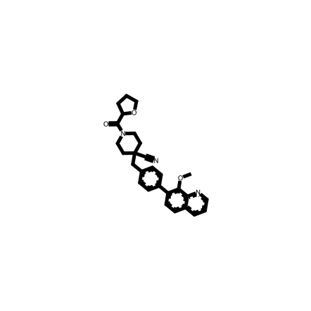 COc1c(-c2ccc(CC3(C#N)CCN(C(=O)C4CCCO4)CC3)cc2)ccc2cccnc12